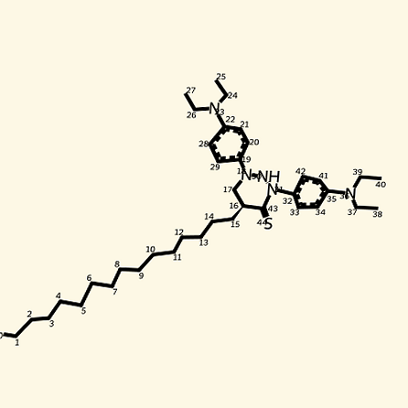 CCCCCCCCCCCCCCCC[C@H]1CN(c2ccc(N(CC)CC)cc2)NN(c2ccc(N(CC)CC)cc2)C1=S